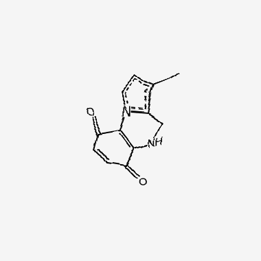 Cc1ccn2c1CNC1=C2C(=O)C=CC1=O